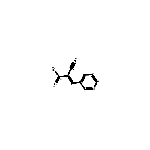 N#C/C(=C\c1cccnc1)C(=O)O